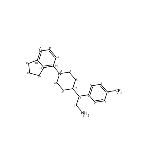 NCC(c1ccc(C(F)(F)F)cc1)C1CCN(c2ccnc3c2CCC3)CC1